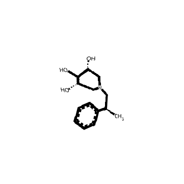 C[C@H](CN1C[C@@H](O)C(O)[C@@H](O)C1)c1ccccc1